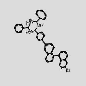 Brc1ccc2c(-c3cccc4cc(-c5ccc(C6NC(c7ccccc7)NC(c7ccccc7)N6)cc5)ccc34)cccc2c1